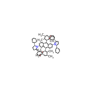 Cc1cc(C)c(C)c(-c2c3ccc(-n4c(-c5ccccc5)ccc4-c4ccccc4)cc3c(-c3c(C)c(C)cc(C)c3C)c3ccc(-n4c(-c5ccccc5)ccc4-c4ccccc4)cc23)c1C